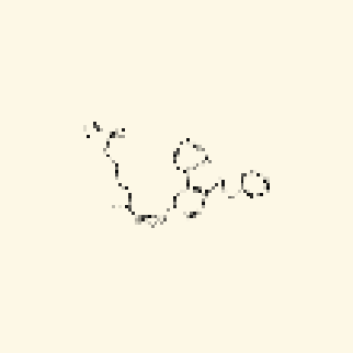 NC(=O)CCCCN[C@@H]1C[C@H]1c1ccc(OCc2ccccc2)c(-c2ccccc2)c1